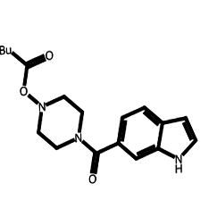 CC(C)(C)C(=O)ON1CCN(C(=O)c2ccc3cc[nH]c3c2)CC1